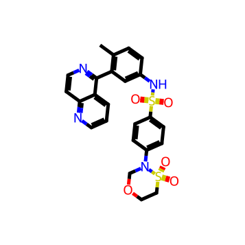 Cc1ccc(NS(=O)(=O)c2ccc(N3COCCS3(=O)=O)cc2)cc1-c1nccc2ncccc12